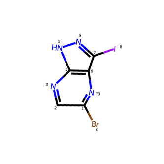 Brc1cnc2[nH]nc(I)c2n1